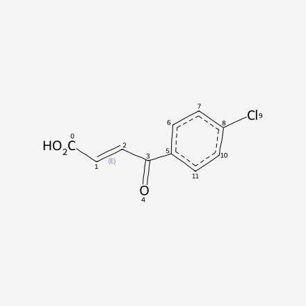 O=C(O)/C=C/C(=O)c1ccc(Cl)cc1